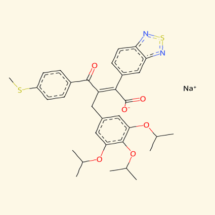 CSc1ccc(C(=O)/C(Cc2cc(OC(C)C)c(OC(C)C)c(OC(C)C)c2)=C(/C(=O)[O-])c2ccc3nsnc3c2)cc1.[Na+]